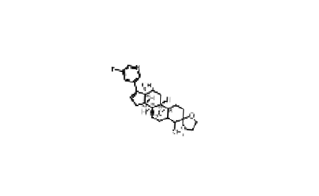 CC1C2CC[C@@H]3[C@H](CC[C@]4(C)C(c5cncc(F)c5)=CC[C@@H]34)[C@@]2(C)CCC12OCCO2